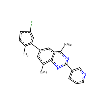 CNc1nc(-c2cccnc2)nc2c(OC)cc(-c3cc(F)ccc3C)cc12